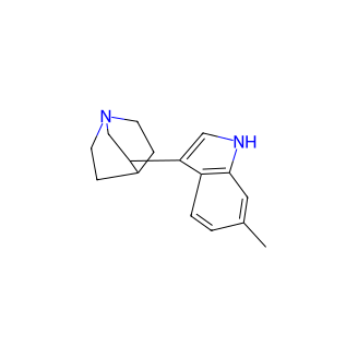 Cc1ccc2c(C3CN4CCC3CC4)c[nH]c2c1